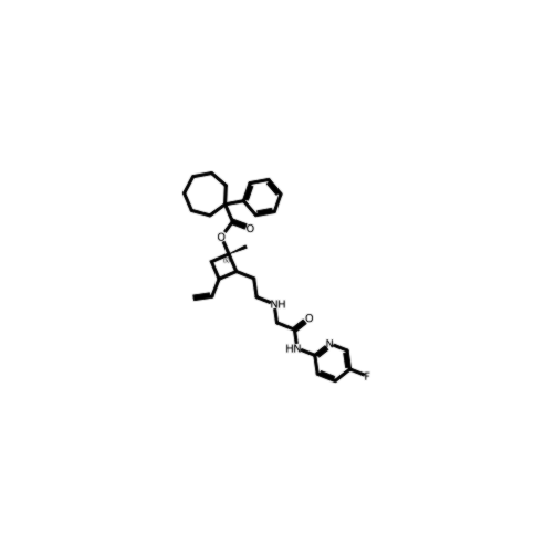 C=CC1C[C@](C)(OC(=O)C2(c3ccccc3)CCCCCC2)C1CCNCC(=O)Nc1ccc(F)cn1